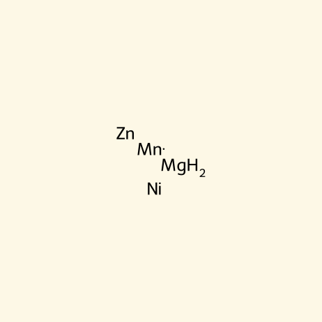 [MgH2].[Mn].[Ni].[Zn]